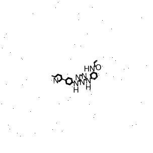 C=CC(=O)Nc1cccc(Nc2ncnc(Nc3ccc(-c4ccc(C)nc4)cc3)n2)c1